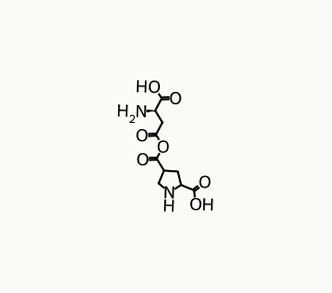 N[C@H](CC(=O)OC(=O)C1CNC(C(=O)O)C1)C(=O)O